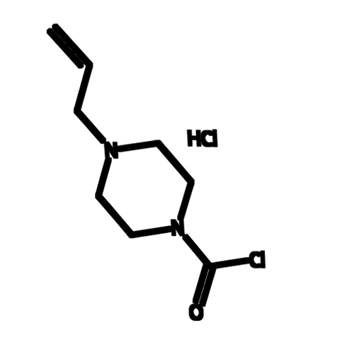 C=CCN1CCN(C(=O)Cl)CC1.Cl